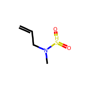 C=CCN(C)[SH](=O)=O